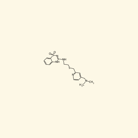 CN(C)Cc1ccnc(CSCCNC2=NS(=O)(=O)c3ccccc3N2)c1